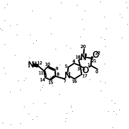 CC1OC2(CCN(Cc3ccc(C#N)cc3)CC2)CN(C)C1=O